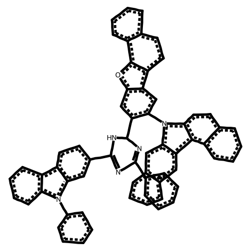 c1ccc(C2=NC(c3cc4oc5c6ccccc6ccc5c4cc3-n3c4cc5ccccc5cc4c4c5ccccc5ccc43)NC(c3ccc4c5ccccc5n(-c5ccccc5)c4c3)=N2)cc1